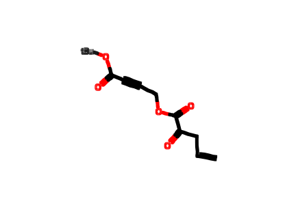 C=CCC(=O)C(=O)OCC#CC(=O)OC(C)(C)C